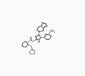 Cc1cccc(-c2[nH]c(CNc3ccccc3CN3CCCC3)nc2-c2ccc3ncnn3c2)n1